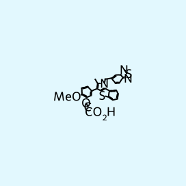 COc1ccc(-c2c(C)n(Cc3ccc4nsnc4c3)c3c2sc2ccccc23)cc1OCC(=O)O